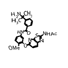 COc1ccc(NC(=O)c2cccc(C(C)(C)N)c2)cc1Oc1ccc2nc(NC(C)=O)sc2n1